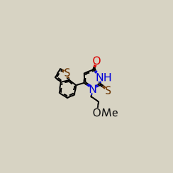 COCCn1c(-c2cccc3ccsc23)cc(=O)[nH]c1=S